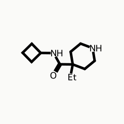 CCC1(C(=O)NC2CCC2)CCNCC1